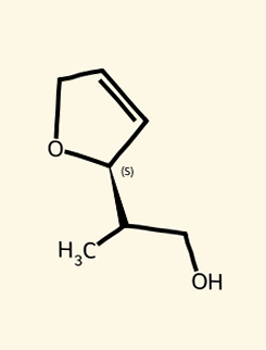 CC(CO)[C@@H]1C=CCO1